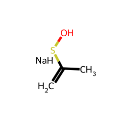 C=C(C)SO.[NaH]